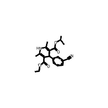 CCOC(=O)C1=C(C)NC(C)=C(C(=O)OC(C)C)C1c1cccc(C#N)c1